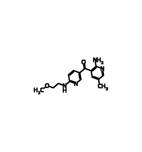 COCCNc1ccc(C(=O)c2cc(C)cnc2N)cn1